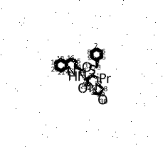 CC(C)C(SCc1ccccc1)[C@H](NC(=O)c1ccc2ccccc2n1)C(=O)N1CCC(=O)C1